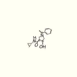 C[C@@H](c1ccccc1)N1C[C@@H](CO)[C@@H](C(=O)NC2CC2)C1